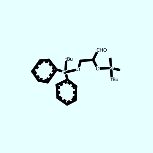 CC(C)(C)[Si](C)(C)OC(C=O)CO[Si](c1ccccc1)(c1ccccc1)C(C)(C)C